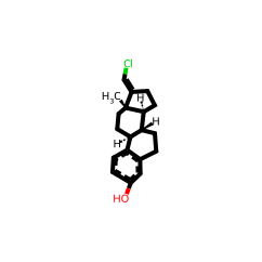 C[C@]12CC[C@@H]3c4ccc(O)cc4CC[C@H]3[C@@H]1CCC2=CCl